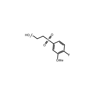 COc1cc(S(=O)(=O)CCC(=O)O)ccc1F